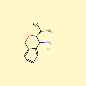 CC(C)[C@@H]1OCc2ccccc2[C@@H]1N.Cl